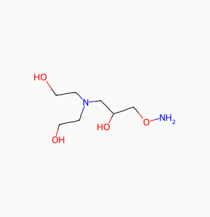 NOCC(O)CN(CCO)CCO